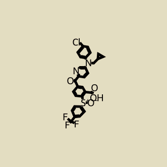 O=C(c1ccc([S+]([O-])c2ccc(C(F)(F)F)cc2)c(C(=O)O)c1)c1ccc(N(CC2CC2)c2ccc(Cl)cc2)cn1